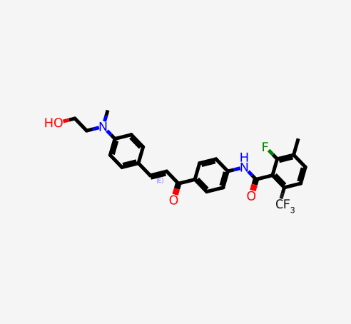 Cc1ccc(C(F)(F)F)c(C(=O)Nc2ccc(C(=O)/C=C/c3ccc(N(C)CCO)cc3)cc2)c1F